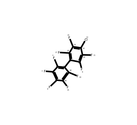 Fc1c(F)c(F)c(-c2c(F)c(F)c(Cl)c(F)c2F)c(F)c1F